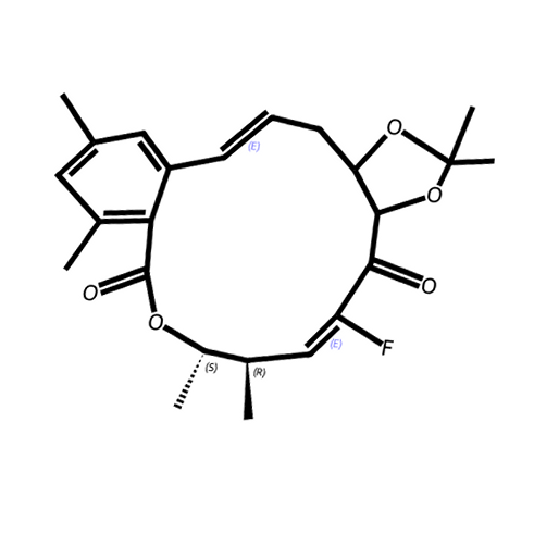 Cc1cc(C)c2c(c1)/C=C/CC1OC(C)(C)OC1C(=O)/C(F)=C\[C@@H](C)[C@H](C)OC2=O